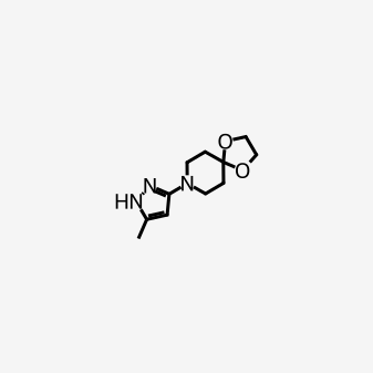 Cc1cc(N2CCC3(CC2)OCCO3)n[nH]1